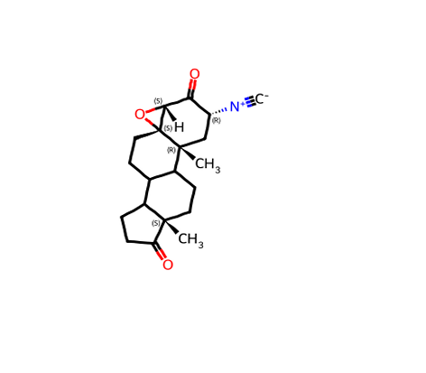 [C-]#[N+][C@@H]1C[C@]2(C)C3CC[C@]4(C)C(=O)CCC4C3CC[C@]23O[C@@H]3C1=O